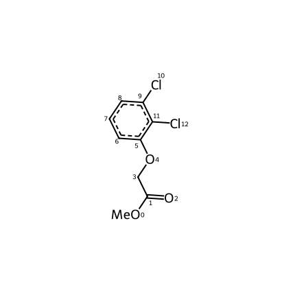 COC(=O)COc1cccc(Cl)c1Cl